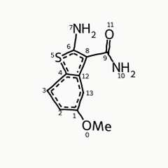 COc1ccc2sc(N)c(C(N)=O)c2c1